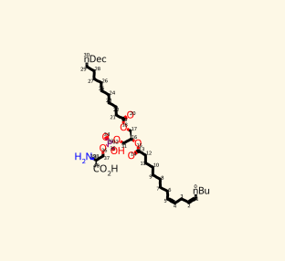 CCCC/C=C\C/C=C\CCCCCCCC(=O)O[C@H](COC(=O)CCCCCCCCCCCCCCCCCCC)COP(=O)(O)OC[C@H](N)C(=O)O